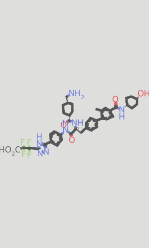 Cc1cc(C(=O)N[C@H]2CC[C@H](O)CC2)ccc1-c1ccc(C[C@H](NC(=O)[C@H]2CC[C@H](CN)CC2)C(=O)Nc2ccc(-c3nnc(C(F)(F)C(F)(F)C(=O)O)[nH]3)cc2)cc1